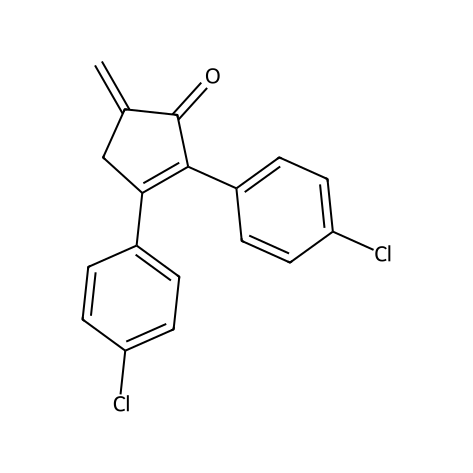 C=C1CC(c2ccc(Cl)cc2)=C(c2ccc(Cl)cc2)C1=O